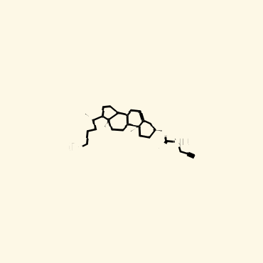 C#CCNC(=O)O[C@H]1CC[C@@]2(C)C(=CCC3C4CCC([C@H](C)CCCC(C)C)[C@@]4(C)CCC32)C1